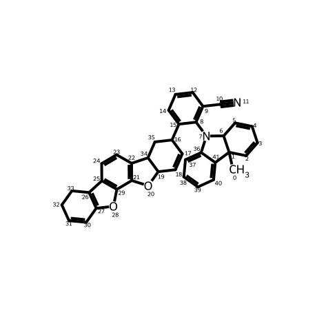 CC12C=CC=CC1N(c1c(C#N)cccc1C1C=CC3Oc4c(ccc5c6c(oc45)C=CCC6)C3C1)c1ccccc12